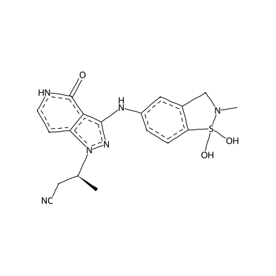 C[C@@H](CC#N)n1nc(Nc2ccc3c(c2)CN(C)S3(O)O)c2c(=O)[nH]ccc21